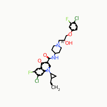 C=CC1CC1n1cc(C(=O)NC2CCN(C[C@@H](O)COc3ccc(Cl)c(F)c3)CC2)c(=O)c2cc(F)c(Cl)cc21